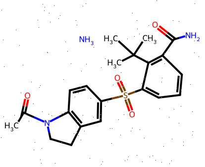 CC(=O)N1CCc2cc(S(=O)(=O)c3cccc(C(N)=O)c3C(C)(C)C)ccc21.N